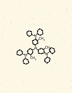 Cc1cc(N(c2ccc(N(c3ccccc3)c3ccccc3)c(C)c2)c2ccc(N(c3ccccc3)c3ccccc3)c(C)c2)ccc1N(c1ccccc1)c1ccccc1